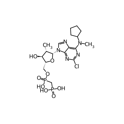 C[C@H]1[C@H](O)[C@@H](COP(=O)(O)CP(=O)(O)O)O[C@H]1n1cnc2c(N(C)C3CCCC3)nc(Cl)nc21